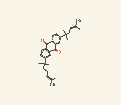 C/C(=C\CCC(C)(C)c1ccc2c(c1)C(=O)c1cc(C(C)(C)C/C=C(\C)C(C)(C)C)ccc1C2=O)C(C)(C)C